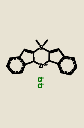 C[Si]1(C)C2=Cc3ccccc3[CH]2[Zr+2][CH]2C1=Cc1ccccc12.[Cl-].[Cl-]